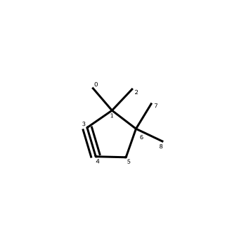 CC1(C)C#CCC1(C)C